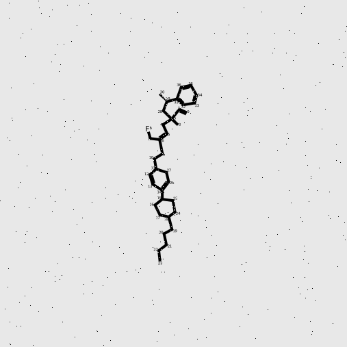 C=CC(C)(C/C=C(\CF)CCC1C=CC(C2CCC(CCCCC)CC2)=CC1)C[C@@H](C)c1ccccc1